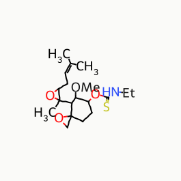 CCNC(=S)OC1CCC2(CO2)C(C2(C)OC2CC=C(C)C)C1OC